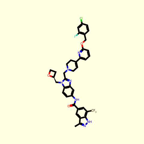 Cc1n[nH]c2c(C(F)(F)F)cc(C(=O)Nc3ccc4c(c3)nc(CN3CC=C(c5cccc(OCc6ccc(Cl)cc6F)n5)CC3)n4C[C@@H]3CCO3)cc12